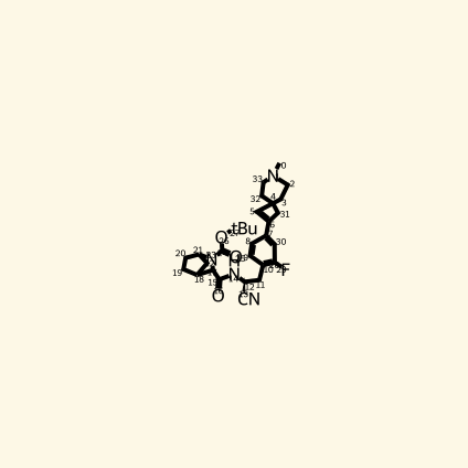 CN1CCC2(C=C(c3ccc(C[C@@H](C#N)NC(=O)C4C5CCC(C5)N4C(=O)OC(C)(C)C)c(F)c3)C2)CC1